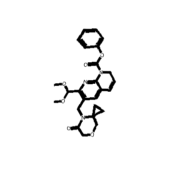 COC(OC)c1nc2c(cc1CN1C(=O)COCC13CC3)C=CCN2C(=O)Oc1ccccc1